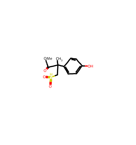 COC(=O)C(C)(C[SH](=O)=O)c1ccc(O)cc1